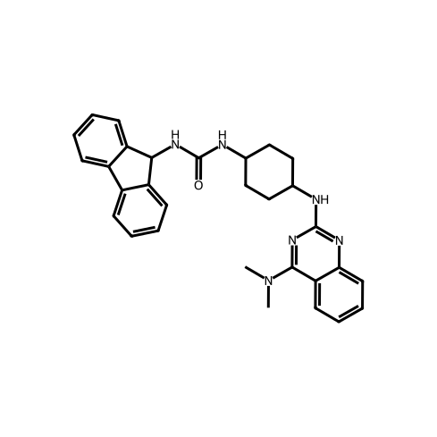 CN(C)c1nc(NC2CCC(NC(=O)NC3c4ccccc4-c4ccccc43)CC2)nc2ccccc12